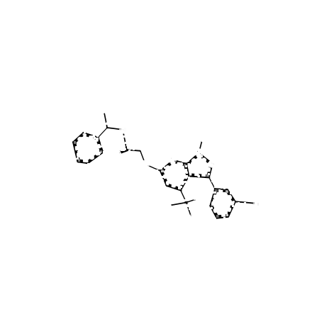 CC(NC(=O)COc1cc(C(F)(F)F)c2c(-c3cccc(Br)c3)nn(C)c2n1)c1ccccc1